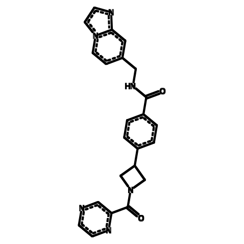 O=C(NCc1ccn2ccnc2c1)c1ccc(C2CN(C(=O)c3cnccn3)C2)cc1